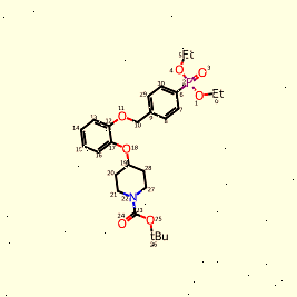 CCOP(=O)(OCC)c1ccc(COc2ccccc2OC2CCN(C(=O)OC(C)(C)C)CC2)cc1